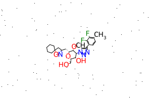 CO[C@@H]1[C@@H](n2cc(-c3ccc(C)c(F)c3F)nn2)[C@@H](O)[C@@H](CO)O[C@@H]1CC1=NOC2(CCCCC2)C1